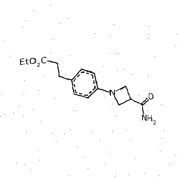 CCOC(=O)CCc1ccc(N2CC(C(N)=O)C2)cc1